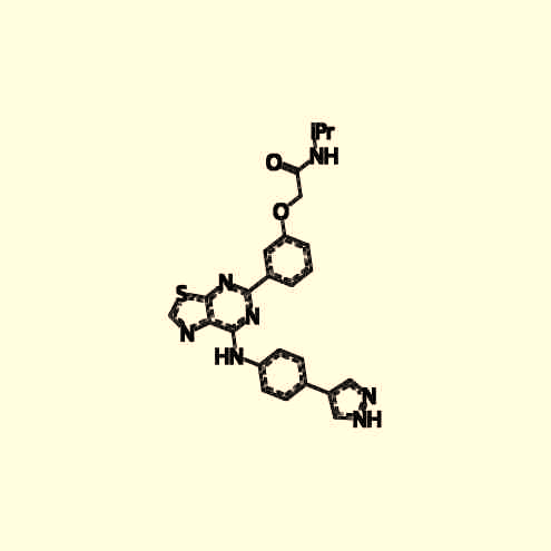 CC(C)NC(=O)COc1cccc(-c2nc(Nc3ccc(-c4cn[nH]c4)cc3)c3ncsc3n2)c1